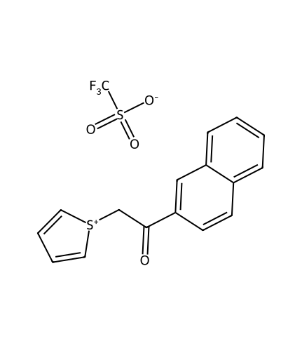 O=C(C[s+]1cccc1)c1ccc2ccccc2c1.O=S(=O)([O-])C(F)(F)F